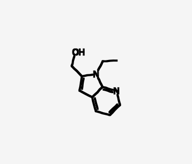 CCn1c(CO)cc2cccnc21